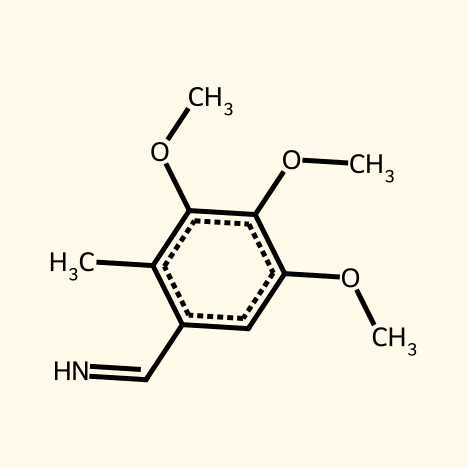 COc1cc(C=N)c(C)c(OC)c1OC